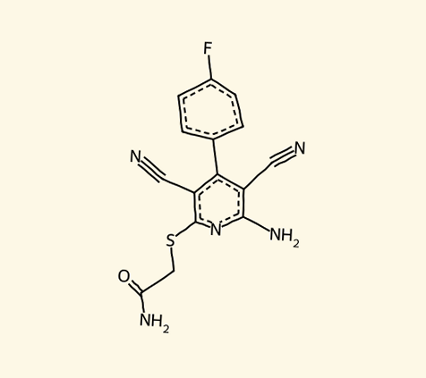 N#Cc1c(N)nc(SCC(N)=O)c(C#N)c1-c1ccc(F)cc1